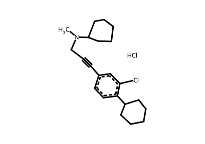 CN(CC#Cc1ccc(C2CCCCC2)c(Cl)c1)C1CCCCC1.Cl